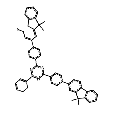 CC1(C)/C(=C/C(=C\CI)c2ccc(-c3nc(C4=CC=CCC4)nc(-c4ccc(-c5ccc6c(c5)C(C)(C)c5ccccc5-6)cc4)n3)cc2)Cc2ccccc21